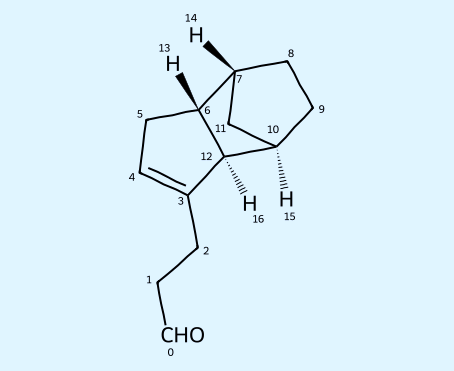 O=CCCC1=CC[C@@H]2[C@@H]3CC[C@H](C3)[C@@H]12